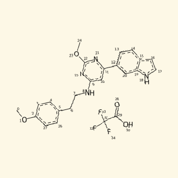 COc1ccc(CCNc2cc(-c3ccc4cc[nH]c4c3)nc(OC)n2)cc1.O=C(O)C(F)(F)F